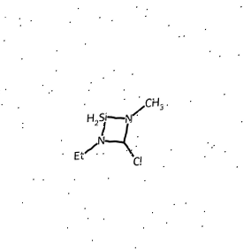 CCN1[SiH2]N(C)C1Cl